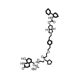 CC(C)(C)[Si](C)(C)O[C@@H](CNCCN(C(=O)CCOCCc1ccc(CCN2C[C@H]3C[C@@H](OC(=O)Nc4ccccc4-c4ccccc4)C[C@H]3C2)cc1)C1CCCC1)c1ccc(O)c2[nH]c(=O)ccc12